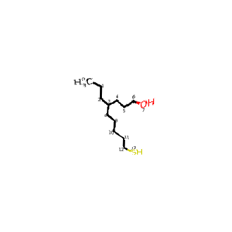 CCCC(CCCO)CCCCCS